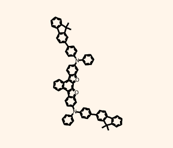 CC1(C)c2ccccc2-c2ccc(-c3ccc(N(c4ccccc4)c4ccc5c(c4)oc4c6oc7cc(N(c8ccccc8)c8ccc(-c9ccc%10c(c9)C(C)(C)c9ccccc9-%10)cc8)ccc7c6c6ccccc6c54)cc3)cc21